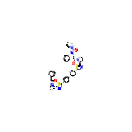 O=C(/N=C/C(C(=O)N1CCC[C@H]1c1ncc(-c2ccc(-c3ccc(-c4cnc(C5CCCN5C(=O)Cc5ccccc5)s4)cc3)cc2)s1)c1ccccc1)N1CCCCC1